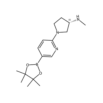 CN[C@H]1CCN(c2ccc(B3OC(C)(C)C(C)(C)O3)cn2)C1